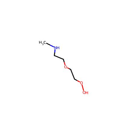 CNCCOCCOO